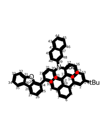 CC(C)(C)c1cc(C2CC=Cc3cccc(-c4ccccc4N(c4ccc(-c5cccc6c5oc5ccccc56)cc4)c4ccc5ccccc5c4)c32)cc(C(C)(C)C)c1